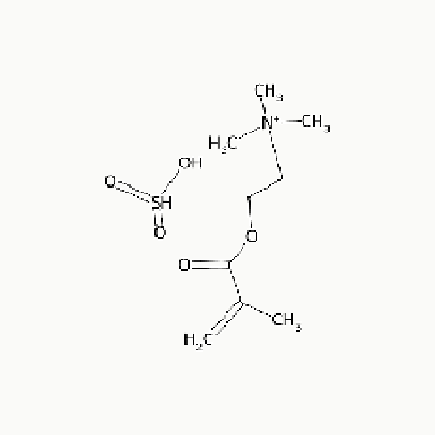 C=C(C)C(=O)OCC[N+](C)(C)C.O=[SH](=O)O